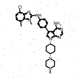 Cc1ccc(Cl)c2nc(Nc3ccc(-c4cn([C@H]5CC[C@@H](N6CCN(C)CC6)CC5)c5ncnc(N)c45)cc3)n(C)c12